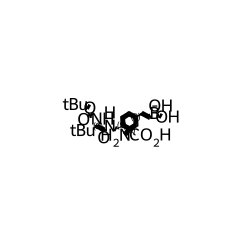 CC(C)(C)OC(=O)N[C@H](C(=O)NC[C@@H]1CC[C@@H](CCB(O)O)C[C@]1(N)C(=O)O)C(C)(C)C